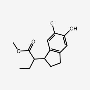 CCC(C(=O)OC)C1CCc2cc(O)c(Cl)cc21